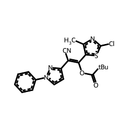 Cc1nc(Cl)sc1/C(OC(=O)C(C)(C)C)=C(\C#N)c1ccn(-c2ccccc2)n1